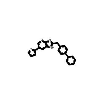 c1ccc(-c2ccc(Cc3nc4ncc(-c5ccco5)cc4[nH]3)cc2)cc1